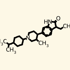 CCC1C(=O)Nc2cc(C3CCN(C4CCC(C(C)C)CC4)CC3C)ccc21